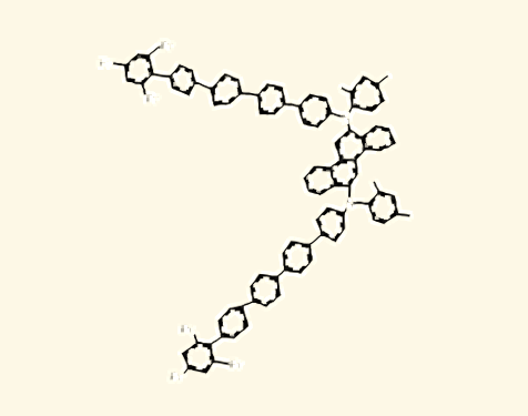 Cc1ccc(N(c2ccc(-c3ccc(-c4ccc(-c5ccc(-c6c(C(C)C)cc(C(C)C)cc6C(C)C)cc5)cc4)cc3)cc2)c2cc3c4ccccc4c(N(c4ccc(-c5ccc(-c6ccc(-c7ccc(-c8c(C(C)C)cc(C(C)C)cc8C(C)C)cc7)cc6)cc5)cc4)c4ccc(C)cc4C)cc3c3ccccc23)c(C)c1